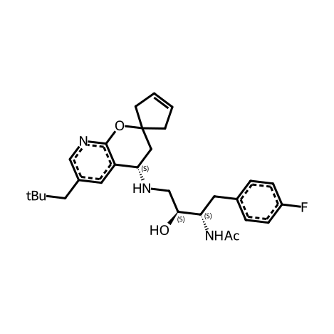 CC(=O)N[C@@H](Cc1ccc(F)cc1)[C@@H](O)CN[C@H]1CC2(CC=CC2)Oc2ncc(CC(C)(C)C)cc21